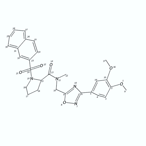 COc1ccc(-c2noc(CN(C)C(=O)C3CCCN3S(=O)(=O)c3ccc4ccccc4c3)n2)cc1OC